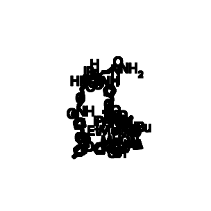 CCC(CS(=O)(=O)c1ccc(C)cc1)C(=O)c1ccc(C(=O)NCCOCCC(=O)N[C@H](C(=O)N[C@@H](CCCNC(N)=O)C(=O)Nc2ccc(COC(=O)N(C)[C@H](C(=O)N[C@H](C(=O)N(C)[C@H](C(CC(=O)N3CCC[C@H]3[C@H](OC)[C@@H](C)C(=O)N[C@H](C)[C@@H](O)c3ccccc3)OC)[C@@H](C)CC)C(C)C)C(C)C)cc2)C(C)C)cc1